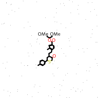 COCC(COC)OC(=O)c1ccc(CCC2CC(c3ccc(C)cc3)SCC2=O)c(C)c1